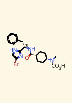 CN(C(=O)O)[C@H]1CC[C@H](C(=O)N[C@@H](Cc2ccccc2)c2nc(Br)c[nH]2)CC1